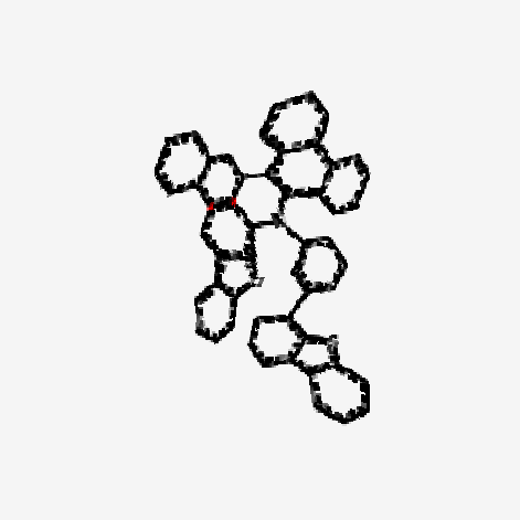 c1cc(-c2cccc3c2sc2ccccc23)cc(N(c2c(-c3ccc4ccccc4c3)c3ccccc3c3ccccc23)c2cccc3c2oc2ccccc23)c1